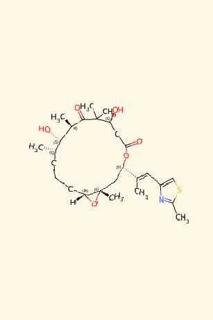 CC(=Cc1csc(C)n1)[C@@H]1C[C@]2(C)O[C@@H]2CCC[C@H](C)[C@H](O)[C@@H](C)C(=O)C(C)(C)[C@@H](O)CC(=O)O1